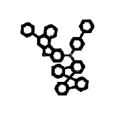 c1ccc(-c2ccc(N(c3ccc4oc5cc(-c6ccccc6)c6ccccc6c5c4c3)c3cccc4c3-c3ccccc3C43c4ccccc4-c4ccccc43)cc2)cc1